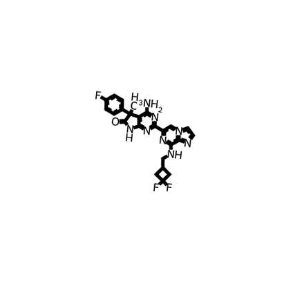 CC1(c2ccc(F)cc2)C(=O)Nc2nc(-c3cn4ccnc4c(NCC4CC(F)(F)C4)n3)nc(N)c21